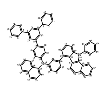 C1=CCC(c2cc(-c3ccccc3)cc(-c3ccc(N(c4cccc(-c5cccc6c5c5ccc7ccccc7c5n6-c5ccccc5)c4)c4cccc5ccccc45)cc3)c2)C=C1